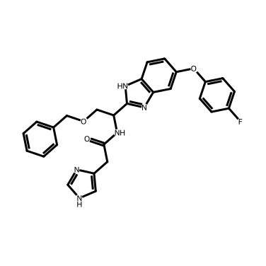 O=C(Cc1c[nH]cn1)NC(COCc1ccccc1)c1nc2cc(Oc3ccc(F)cc3)ccc2[nH]1